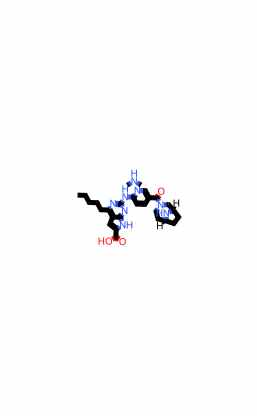 CCCCCc1nc(Nc2ccc(C(=O)N3CC[C@H]4CC[C@@H](C3)N4)cn2)nc2[nH]c(C(=O)O)cc12.CNC